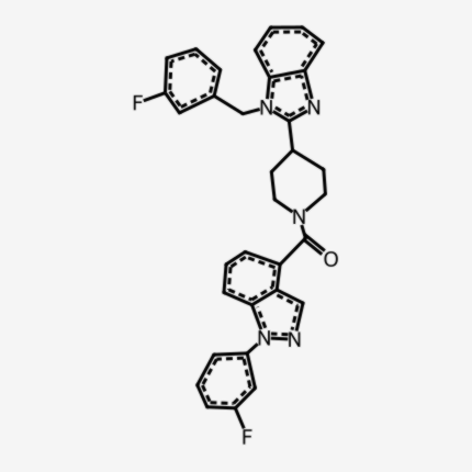 O=C(c1cccc2c1cnn2-c1cccc(F)c1)N1CCC(c2nc3ccccc3n2Cc2cccc(F)c2)CC1